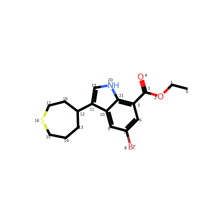 CCOC(=O)c1cc(Br)cc2c(C3CCCSCC3)c[nH]c12